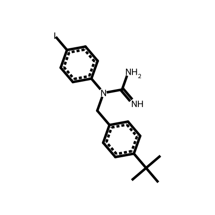 CC(C)(C)c1ccc(CN(C(=N)N)c2ccc(I)cc2)cc1